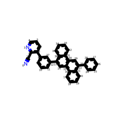 N#Cc1ncccc1-c1cccc(-c2cc3c4ccccc4c(-c4ccccc4)cc3c3ccccc23)c1